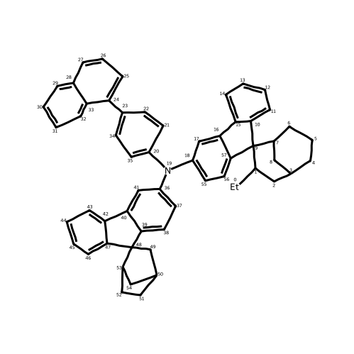 CCC1CC2CCCC(C2)C12c1ccccc1-c1cc(N(c3ccc(-c4cccc5ccccc45)cc3)c3ccc4c(c3)-c3ccccc3C43CC4CCC3C4)ccc12